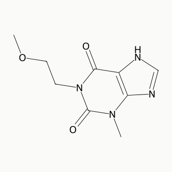 COCCn1c(=O)c2[nH]cnc2n(C)c1=O